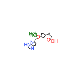 CN1CCNc2nc(CCOc3ccc(C4CC4CC(=O)O)cc3)ccc21.Cl.Cl